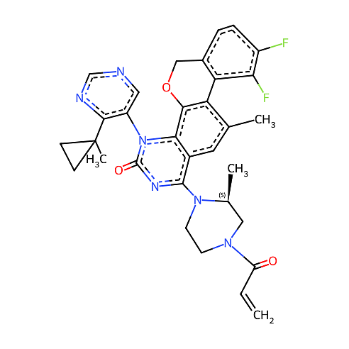 C=CC(=O)N1CCN(c2nc(=O)n(-c3cncnc3C3(C)CC3)c3c4c(c(C)cc23)-c2c(ccc(F)c2F)CO4)[C@@H](C)C1